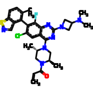 C=CC(=O)N1C[C@H](C)N(c2nc(N3CC(N(C)C)C3)nc3c(F)c(-c4c(C)ccc5sncc45)c(Cl)cc23)C[C@H]1C